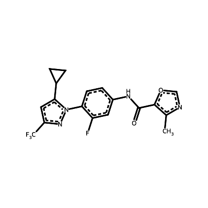 Cc1ncoc1C(=O)Nc1ccc(-n2nc(C(F)(F)F)cc2C2CC2)c(F)c1